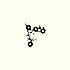 Cc1ccccc1C(=O)c1ccc(N(C(=O)OC(C)OC(=O)C(O)c2ccccc2)c2ccc(F)cc2C)cc1Cl